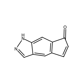 O=C1C=Cc2cc3cn[nH]c3cc21